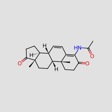 CC(=O)NC1=C2C=C[C@@H]3[C@@H](CC[C@]4(C)C(=O)CC[C@@H]34)[C@@]2(C)CCC1=O